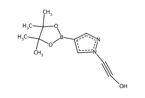 CC1(C)OB(c2cnn(C#CO)c2)OC1(C)C